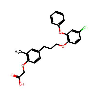 Cc1cc(CCCOc2ccc(Cl)cc2Oc2ccccc2)ccc1OCC(=O)O